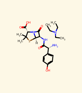 CC1(C)S[C@@H]2[C@H](NC(=O)[C@H](N)c3ccc(O)cc3)C(=O)N2[C@H]1C(=O)O.CCN(CC)CC